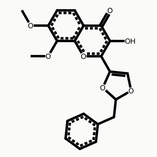 COc1ccc2c(=O)c(O)c(C3=COC(Cc4ccccc4)O3)oc2c1OC